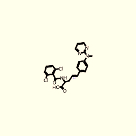 CN(c1ccc(/C=C/CC(NC(=O)c2c(Cl)cccc2Cl)C(=O)O)cc1)c1ncccn1